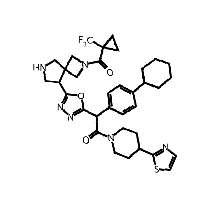 O=C(C(c1ccc(C2CCCCC2)cc1)c1nnc(C2CNCC23CN(C(=O)C2(C(F)(F)F)CC2)C3)o1)N1CCC(c2nccs2)CC1